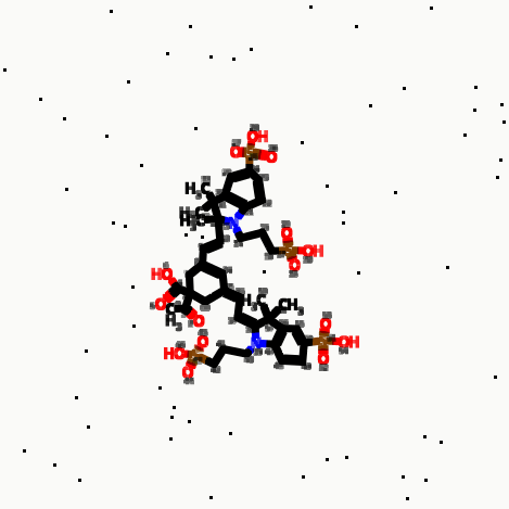 CC(=O)C1(C(=O)O)CC(/C=C/C2(C)N(CCCS(=O)(=O)O)c3ccc(S(=O)(=O)O)cc3C2(C)C)=CC(=C/C=C2/N(CCCS(=O)(=O)O)c3ccc(S(=O)(=O)O)cc3C2(C)C)/C1